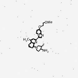 COCCOc1ccn2c(-c3cc(C)c4cccc(N5CCC(N)C(F)C5)c4n3)cnc2c1